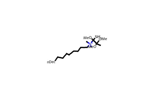 CCCCCCCCCCCCCCCCCC[N+](C)(C)C([SiH3])(OC)C(C)(OC)OC